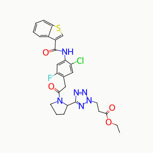 CCOC(=O)CCn1nnc(C2CCCN2C(=O)Cc2cc(Cl)c(NC(=O)c3csc4ccccc34)cc2F)n1